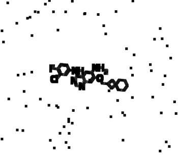 Nc1cc2c(Nc3ccc(F)c(Cl)c3)ncnc2cc1OCC1CC2(CCCCC2)C1